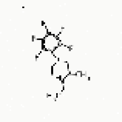 CCCC(C)CP(CC)c1c(F)c(F)c(F)c(F)c1F